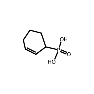 O=P(O)(O)C1C=CCCC1